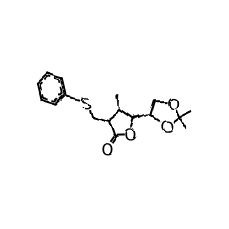 C[C@@H]1C(CSc2ccccc2)C(=O)OC1[C@H]1COC(C)(C)O1